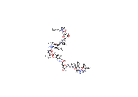 CSCCN(C)C(=O)C[C@@H]1C[C@@]2(CO2)C[C@@H](/C=C/C(C)=C/C[C@@H]2O[C@H](C)[C@H](NC3OC3/C=C\[C@H](C)OC(=O)Cc3ccc(CNC(=O)C[C@@H]4C[C@@]5(CO5)C[C@@H](/C=C/C(C)=C/C[C@@H]5O[C@H](C)[C@H](NC(=O)/C=C\[C@H](C)OC(C)=O)C[C@@H]5C)O4)cc3)C[C@@H]2C)O1